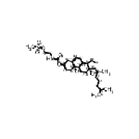 CC(C)CCC[C@@H](C)[C@H]1CCC2C3CC=C4CC(OC(=O)NCCOS(C)(=O)=O)CC[C@]4(C)C3CC[C@@]21C